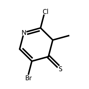 CC1C(=S)C(Br)=CN=C1Cl